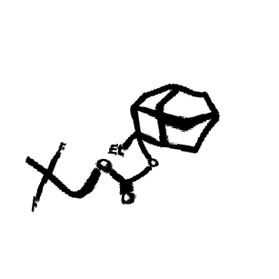 CCC1(OC(=O)OCC(C)(F)F)C2CC3CC(C2)CC1C3